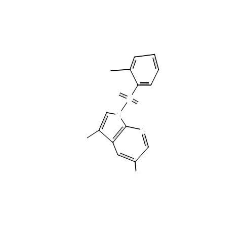 Cc1ccccc1S(=O)(=O)n1cc(I)c2cc(Br)cnc21